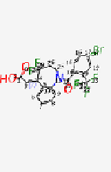 O=C(O)/C=C1/c2ccccc2N(C(=O)c2ccc(Br)cc2C(F)(F)F)CCC1(F)F